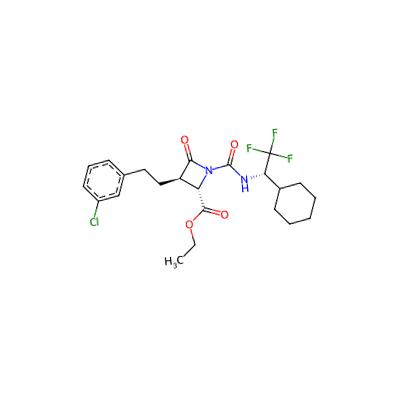 CCOC(=O)[C@@H]1[C@@H](CCc2cccc(Cl)c2)C(=O)N1C(=O)N[C@@H](C1CCCCC1)C(F)(F)F